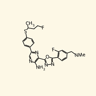 CNCc1ccc(-c2nnc(-c3nc(-c4ccc(SC(C)CCF)cc4)cnc3N)o2)c(F)c1